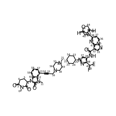 CN1C(=O)CCC(n2c(=O)n(C)c3c(C#CCN4CCN(C[C@H]5CC[C@H](n6cc(NC(=O)c7cnn8ccc(N9C[C@H]%10C[C@@H]9CO%10)nc78)c(C(F)F)n6)CC5)CC4)cccc32)C1=O